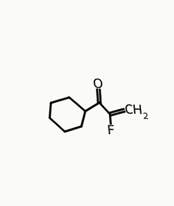 C=C(F)C(=O)C1CCCCC1